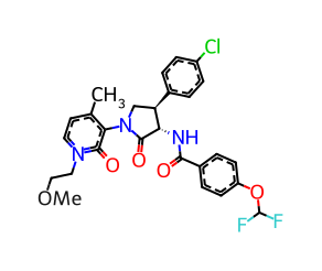 COCCn1ccc(C)c(N2C[C@@H](c3ccc(Cl)cc3)[C@H](NC(=O)c3ccc(OC(F)F)cc3)C2=O)c1=O